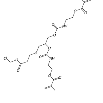 C=C(C)C(=O)OCCNC(=O)OCC(CSCCC(=O)OCCl)OC(=O)NCCOC(=O)C(=C)C